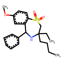 CCCCC1(CC)CS(=O)(=O)c2ccc(OC)cc2C(c2ccccc2)N1